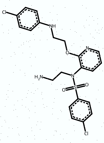 NCCN(c1cccnc1OCCNc1ccc(Cl)cc1)S(=O)(=O)c1ccc(Cl)cc1